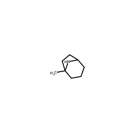 CC12CCCC(CC1)N2